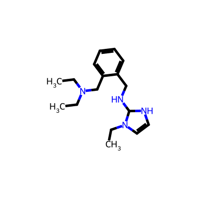 CCN(CC)Cc1ccccc1CNC1NC=CN1CC